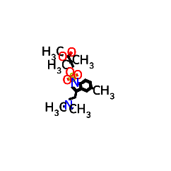 COC(=O)C(C)(C)COS(=O)(=O)n1cc(CCN(C)C)c2cc(C)ccc21